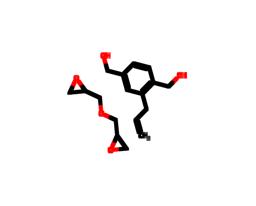 C(OCC1CO1)C1CO1.C=CCc1cc(CO)ccc1CO